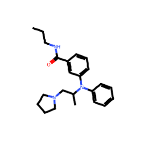 CCCNC(=O)c1cccc(N(c2ccccc2)C(C)CN2CCCC2)c1